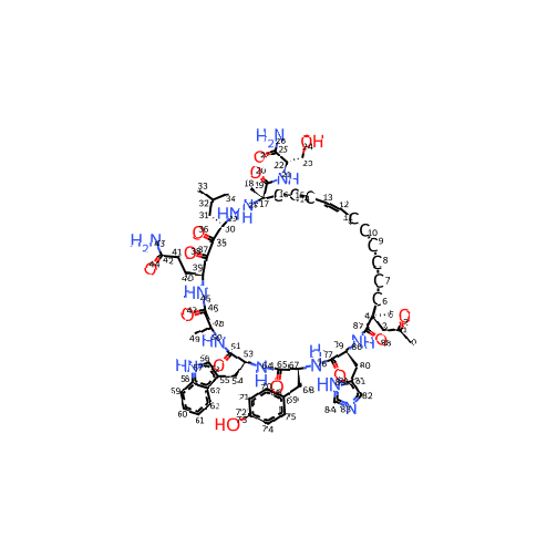 CC(=O)C[C@]1(C)CCCCCCC=CCCC[C@@](C)(C(=O)N[C@@H](CO)C(N)=O)NN[C@@H](CC(C)C)C(=O)C(=O)[C@H](CCC(N)=O)NC(=O)C(C)NC(=O)[C@H](Cc2c[nH]c3ccccc23)NC(=O)[C@H](Cc2ccc(O)cc2)NC(=O)[C@H](Cc2cnc[nH]2)NC1=O